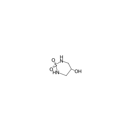 O=S1(=O)NCC(O)CN1